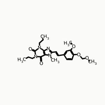 CCCn1c(=O)c2c(nc(C=Cc3ccc(OCOC)c(OC)c3)n2C)n(CCC)c1=O